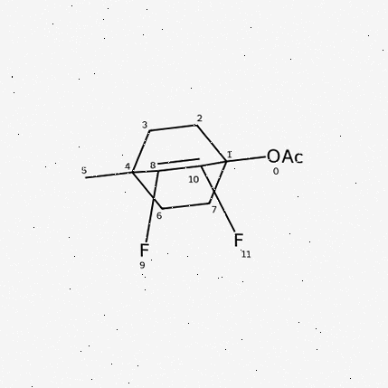 CC(=O)OC12CCC(C)(CC1)C(F)=C2F